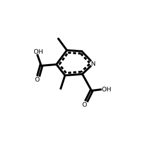 Cc1cnc(C(=O)O)c(C)c1C(=O)O